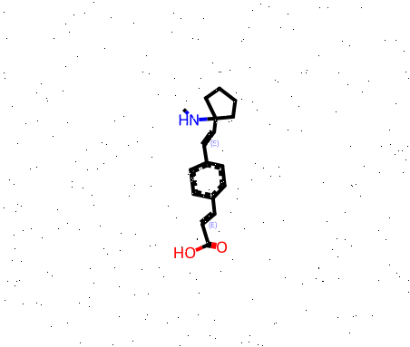 CNC1(/C=C/c2ccc(/C=C/C(=O)O)cc2)CCCC1